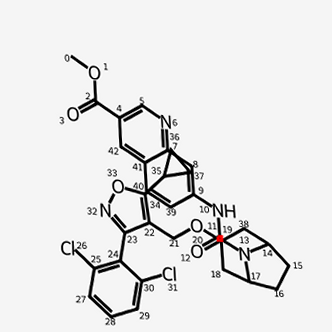 COC(=O)c1cnc2cc(NC(=O)N3C4CCC3CC(OCc3c(-c5c(Cl)cccc5Cl)noc3C3CC3)C4)ccc2c1